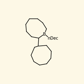 CCCCCCCCCCB1CCCCCCCC1C1CCCCCCCC1